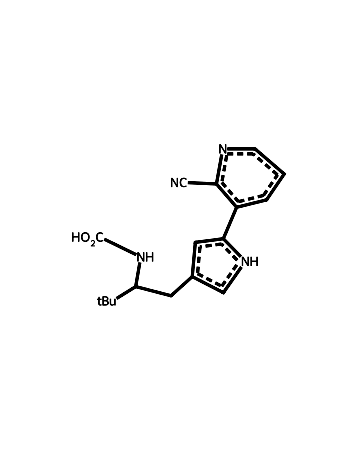 CC(C)(C)C(Cc1c[nH]c(-c2cccnc2C#N)c1)NC(=O)O